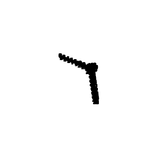 CCCCCCCCCCCCCCCC[n+]1ccccc1C(C)CCCCCCCCCCCCCCC